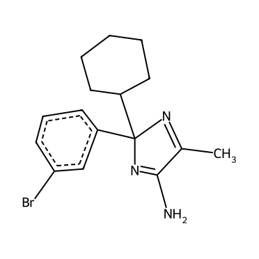 CC1=NC(c2cccc(Br)c2)(C2CCCCC2)N=C1N